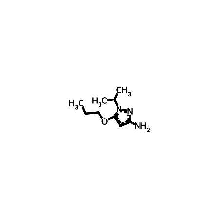 CCCOc1cc(N)nn1C(C)C